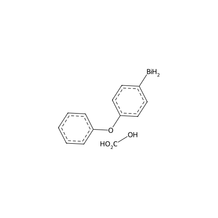 O=C(O)O.[BiH2][c]1ccc(Oc2ccccc2)cc1